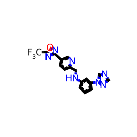 FC(F)(F)c1nc(-c2ccc(CNc3cccc(-n4cncn4)c3)nc2)no1